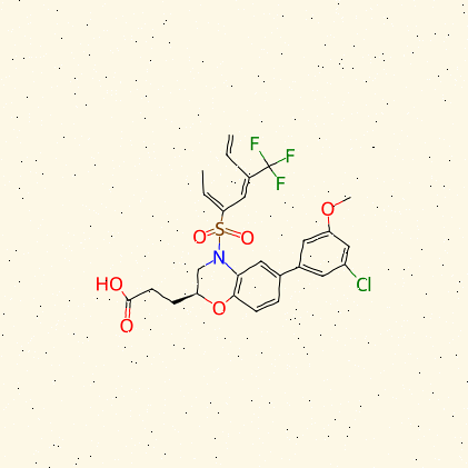 C=C/C(=C\C(=C/C)S(=O)(=O)N1C[C@H](CCC(=O)O)Oc2ccc(-c3cc(Cl)cc(OC)c3)cc21)C(F)(F)F